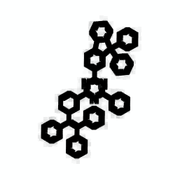 C1=CC(c2nc(-c3ccccc3)nc(-c3ccc4c(c3)C(c3ccccc3)(c3ccccc3)c3ccccc3-4)n2)=CC(C(=C(c2ccccc2)c2ccccc2)c2ccccc2)C1